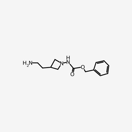 NCCC1CN(NC(=O)OCc2ccccc2)C1